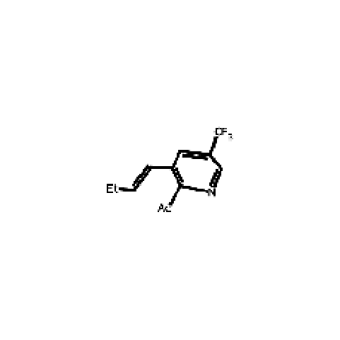 CC/C=C/c1cc(C(F)(F)F)cnc1C(C)=O